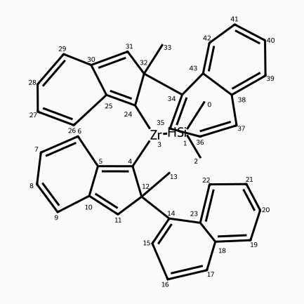 C[SiH](C)[Zr]([C]1=c2ccccc2=CC1(C)c1cccc2ccccc12)[C]1=c2ccccc2=CC1(C)c1cccc2ccccc12